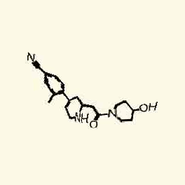 Cc1cc(C#N)ccc1C1=CCN[C](CC(=O)N2CCC(O)CC2)C1